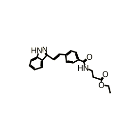 CCOC(=O)CCNC(=O)c1ccc(C=Cc2n[nH]c3ccccc23)cc1